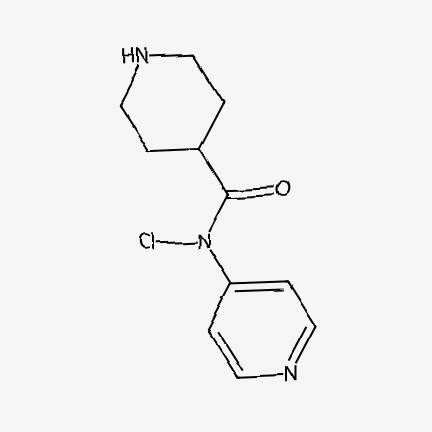 O=C(C1CCNCC1)N(Cl)c1ccncc1